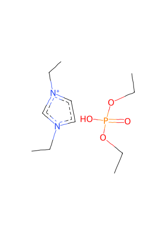 CCOP(=O)(O)OCC.CCn1cc[n+](CC)c1